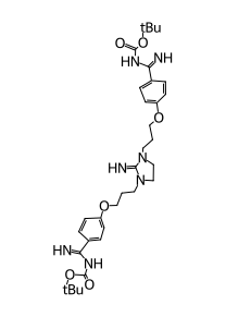 CC(C)(C)OC(=O)NC(=N)c1ccc(OCCCN2CCN(CCCOc3ccc(C(=N)NC(=O)OC(C)(C)C)cc3)C2=N)cc1